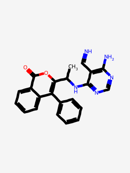 CC(Nc1ncnc(N)c1C=N)c1oc(=O)c2ccccc2c1-c1ccccc1